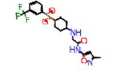 Cc1cc(NC(=O)CNC2CCC(S(=O)(=O)c3cccc(C(F)(F)F)c3)CC2)on1